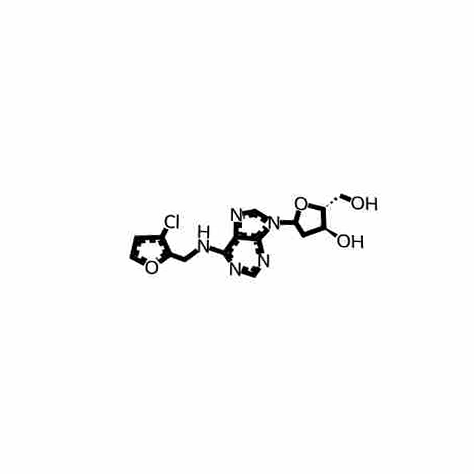 OC[C@H]1OC(n2cnc3c(NCc4occc4Cl)ncnc32)C[C@@H]1O